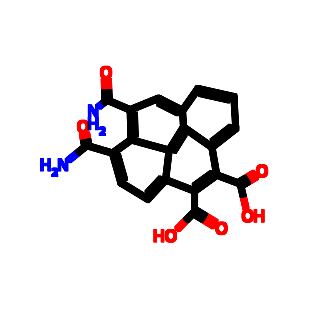 NC(=O)c1ccc2c(C(=O)O)c(C(=O)O)c3cccc4cc(C(N)=O)c1c2c43